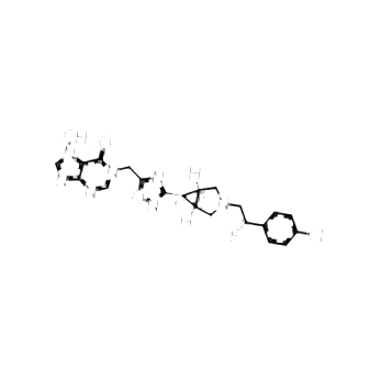 Cn1cnc2ncn(Cc3nc([C@H]4[C@@H]5CN(C[C@@H](F)c6ccc(Cl)cc6)C[C@@H]54)no3)c(=O)c21